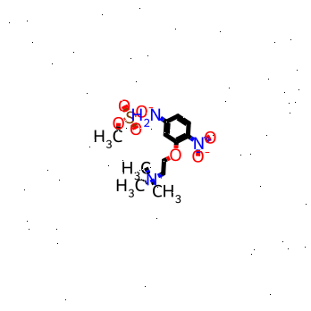 COS(=O)(=O)[O-].C[N+](C)(C)CCOc1cc(N)ccc1[N+](=O)[O-]